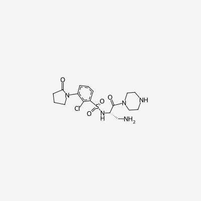 NC[C@H](NS(=O)(=O)c1cccc(N2CCCC2=O)c1Cl)C(=O)N1CCNCC1